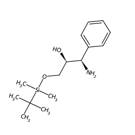 CC(C)(C)[Si](C)(C)OC[C@@H](O)[C@H](N)c1ccccc1